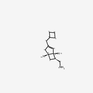 NC[C@H]1C[C@@H]2CC(CC3CCC3)=C[C@H]12